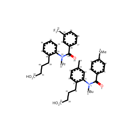 CCCCN(C(=O)c1ccc(SC)cc1)c1cc(C)ccc1CCCC(=O)O.CCCN(C(=O)c1cccc(C(F)(F)F)c1)c1ccccc1CCCC(=O)O